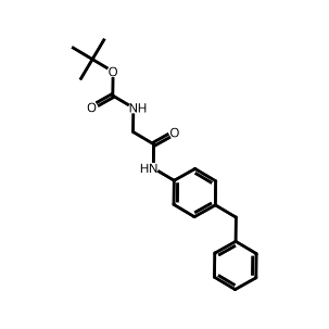 CC(C)(C)OC(=O)NCC(=O)Nc1ccc(Cc2ccccc2)cc1